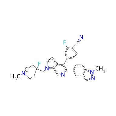 CN1CCC(F)(Cn2ccc3c(-c4ccc(C#N)c(F)c4)c(-c4ccc5c(cnn5C)c4)ncc32)CC1